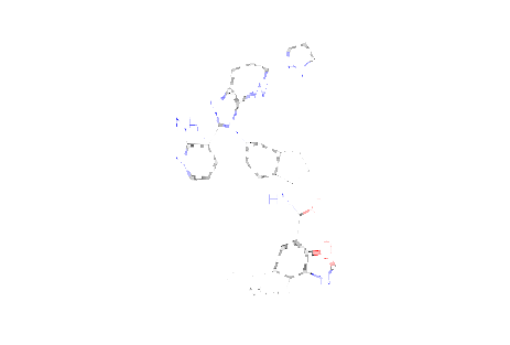 COc1c(C=O)cc(C(=O)N[C@H]2CCc3cc(-n4c(-c5cccnc5N)nc5ccc(-n6cccn6)nc54)ccc32)c2ocnc12